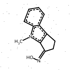 Cn1c2c(c3ccccc31)CC/C2=N/O